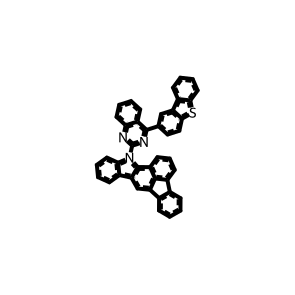 c1ccc2c(c1)-c1cccc3c1c-2cc1c2ccccc2n(-c2nc(-c4ccc5sc6ccccc6c5c4)c4ccccc4n2)c31